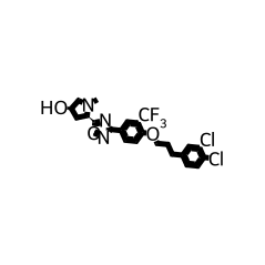 CN1C[C@H](O)C[C@H]1c1nc(-c2ccc(OCCCc3ccc(Cl)c(Cl)c3)c(C(F)(F)F)c2)no1